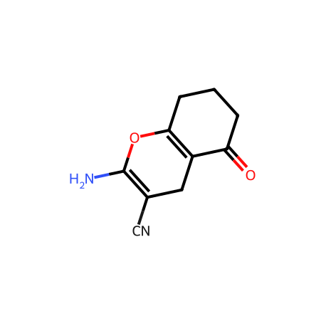 N#CC1=C(N)OC2=C(C1)C(=O)CCC2